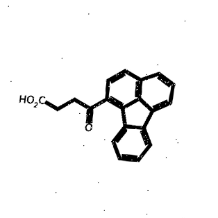 O=C(O)CCC(=O)c1ccc2cccc3c2c1-c1ccccc1-3